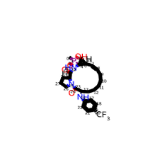 CP(=O)(O)[C@@]12C[C@H]1/C=C\CCCCC[C@H](Nc1ccc(C(F)(F)F)cc1)C(=O)N1CCC[C@H]1C(=O)N2